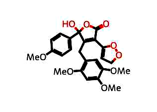 COc1ccc(C2(O)OC(=O)C(C3=CCOO3)=C2Cc2cc(OC)c(OC)cc2OC)cc1